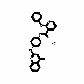 Cc1cc(N[C@H]2CC[C@@H](NC(=O)c3cccnc3Oc3ccccc3)CC2)nc2ccccc12.Cl